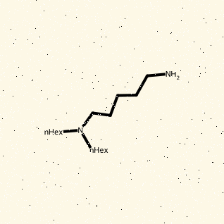 CCCCCCN(CCCCCC)CCCCCN